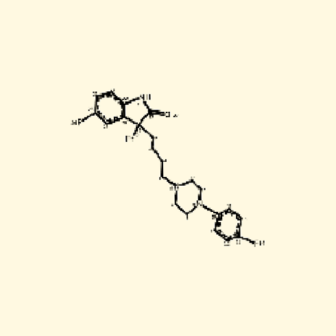 CCC1(CCCCN2CCN(c3ccc(F)cc3)CC2)C(=O)Nc2ccc(F)cc21